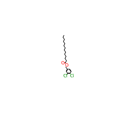 CCCCCCCCCCCCCC(=O)OCc1ccc(Cl)c(Cl)c1